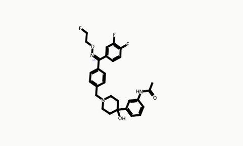 CC(=O)Nc1cccc(C2(O)CCN(Cc3ccc(/C(=N/OCCF)c4ccc(F)c(F)c4)cc3)CC2)c1